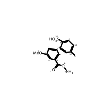 COc1cccc(C(=O)ON)c1.Cc1ccc(S(=O)(=O)O)cc1